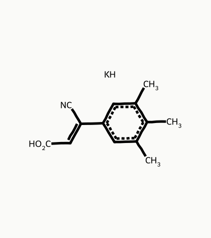 Cc1cc(C(C#N)=CC(=O)O)cc(C)c1C.[KH]